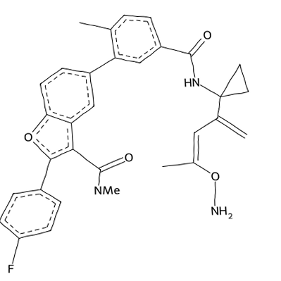 C=C(/C=C(/C)ON)C1(NC(=O)c2ccc(C)c(-c3ccc4oc(-c5ccc(F)cc5)c(C(=O)NC)c4c3)c2)CC1